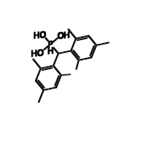 Cc1cc(C)c(C(c2c(C)cc(C)cc2C)[PH](O)(O)O)c(C)c1